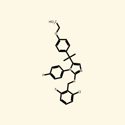 CC(C)(c1ccc(OCC(=O)O)cc1)c1cnc(SCc2c(F)cccc2Cl)n1-c1ccc(F)cc1